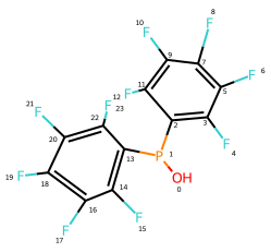 OP(c1c(F)c(F)c(F)c(F)c1F)c1c(F)c(F)c(F)c(F)c1F